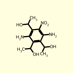 CC(O)c1c(N)c(C(C)O)c([N+](=O)[O-])c(N)c1C(C)O